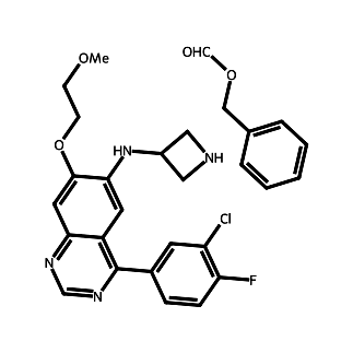 COCCOc1cc2ncnc(-c3ccc(F)c(Cl)c3)c2cc1NC1CNC1.O=COCc1ccccc1